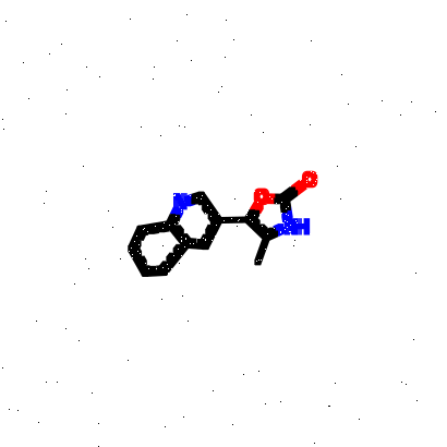 Cc1[nH]c(=O)oc1-c1cnc2ccccc2c1